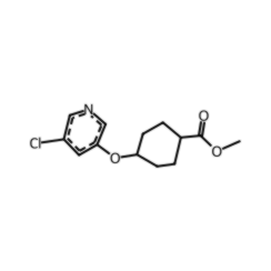 COC(=O)C1CCC(Oc2cncc(Cl)c2)CC1